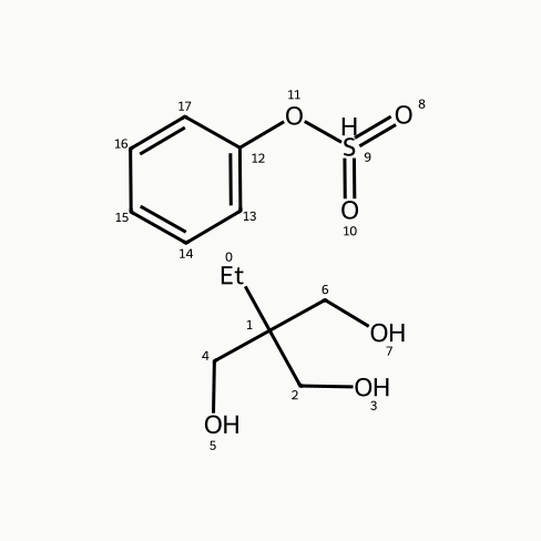 CCC(CO)(CO)CO.O=[SH](=O)Oc1ccccc1